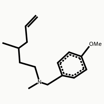 C=CCC(C)CCN(C)Cc1ccc(OC)cc1